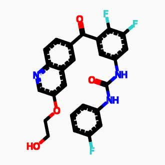 O=C(Nc1cccc(F)c1)Nc1cc(F)c(F)c(C(=O)c2ccc3ncc(OCCO)cc3c2)c1